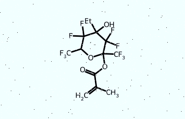 C=C(C)C(=O)OC1(C(F)(F)F)OC(C(F)(F)F)C(F)(F)C(O)(CC)C1(F)F